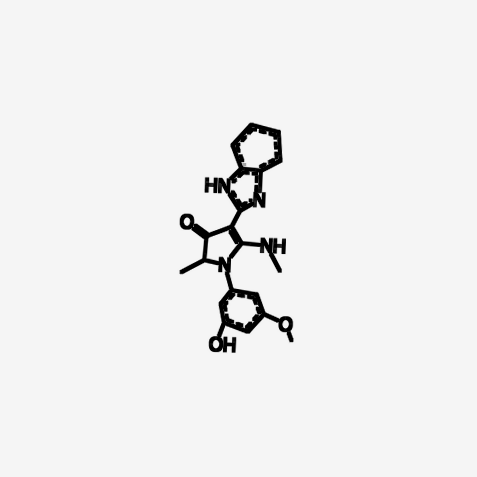 CNC1=C(c2nc3ccccc3[nH]2)C(=O)C(C)N1c1cc(O)cc(OC)c1